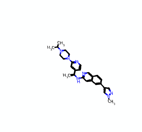 C=C(Nc1cc2cc(-c3cnn(C)c3)ccc2cn1)c1ccnc(N2CCN(C(C)C)CC2)c1